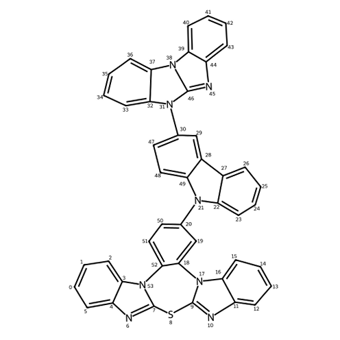 c1ccc2c(c1)nc1sc3nc4ccccc4n3c3cc(-n4c5ccccc5c5cc(-n6c7ccccc7n7c8ccccc8nc67)ccc54)ccc3n12